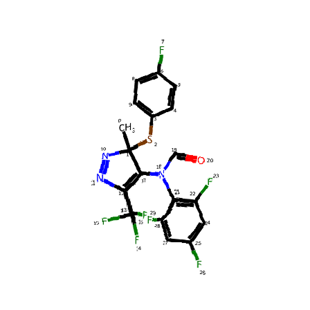 CC1(Sc2ccc(F)cc2)N=NC(C(F)(F)F)=C1N(C=O)c1c(F)cc(F)cc1F